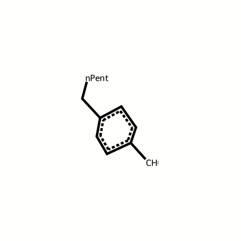 [CH]c1ccc(CCCCCC)cc1